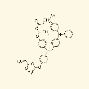 C=CC(=O)OC(C)Oc1ccc(C(=Cc2ccc(N(c3ccccc3)c3ccc(CS)cc3)cc2)c2ccc(OC(C)OC(=O)C=C)cc2)cc1